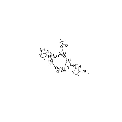 CC(C)(C)C(=O)OCSP1(=O)OC[C@H]2O[C@@H](n3cnc4c(N)ncnc43)[C@@H](F)C2OP(=O)(O)OC[C@H]2O[C@@H](n3cnc4c(N)ncnc43)[C@@H](O1)C2O